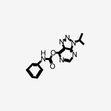 CC(C)n1nnc2c(OC(=O)Nc3ccccc3)ncnc21